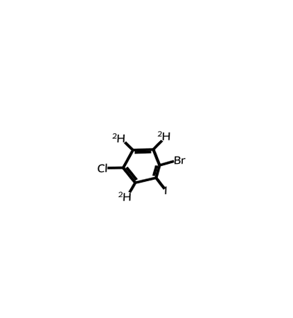 [2H]c1c([2H])c(Br)c(I)c([2H])c1Cl